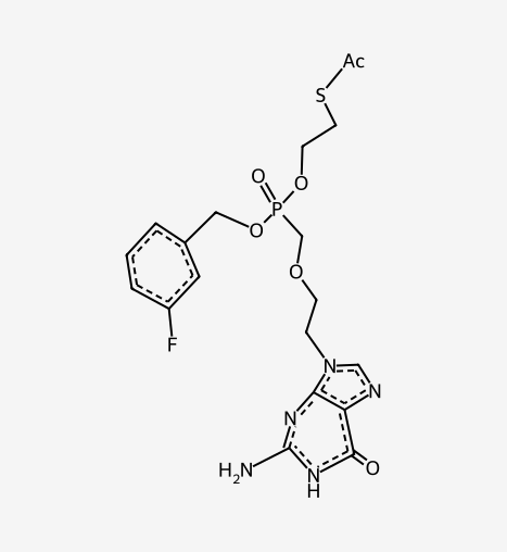 CC(=O)SCCOP(=O)(COCCn1cnc2c(=O)[nH]c(N)nc21)OCc1cccc(F)c1